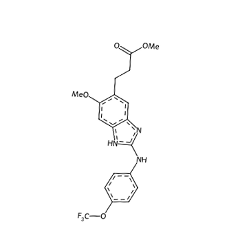 COC(=O)CCc1cc2nc(Nc3ccc(OC(F)(F)F)cc3)[nH]c2cc1OC